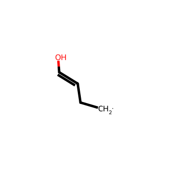 [CH2]CC=CO